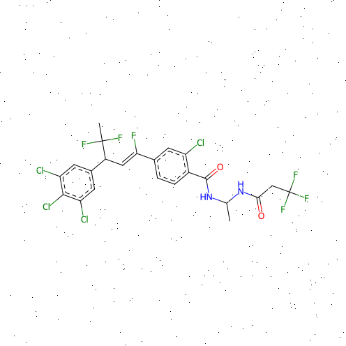 CC(NC(=O)CC(F)(F)F)NC(=O)c1ccc(/C(F)=C/C(c2cc(Cl)c(Cl)c(Cl)c2)C(C)(F)F)cc1Cl